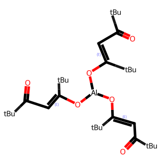 CC(C)(C)C(=O)/C=C(/[O][Al]([O]/C(=C/C(=O)C(C)(C)C)C(C)(C)C)[O]/C(=C/C(=O)C(C)(C)C)C(C)(C)C)C(C)(C)C